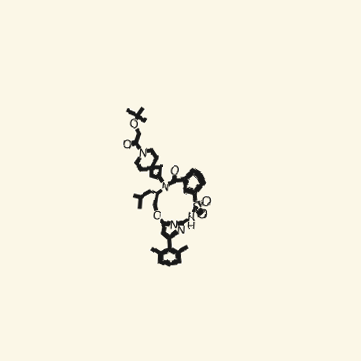 Cc1cccc(C)c1-c1cc2nc(n1)NS(=O)(=O)c1cccc(c1)C(=O)N(C1CC3(CCN(C(=O)COC(C)(C)C)CC3)C1)[C@H](CC(C)C)CO2